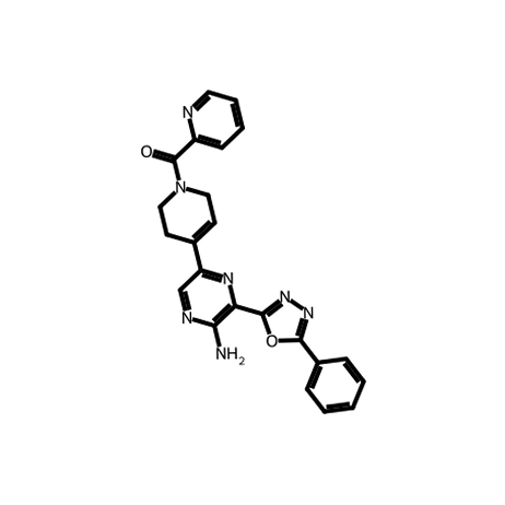 Nc1ncc(C2=CCN(C(=O)c3ccccn3)CC2)nc1-c1nnc(-c2ccccc2)o1